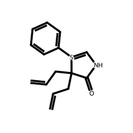 C=CCC1(CC=C)C(=O)NC=S1c1ccccc1